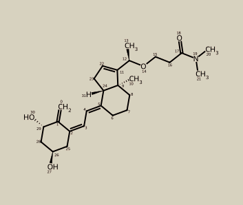 C=C1C(=CC=C2CCC[C@]3(C)C([C@@H](C)OCCC(=O)N(C)C)=CC[C@@H]23)C[C@@H](O)C[C@@H]1O